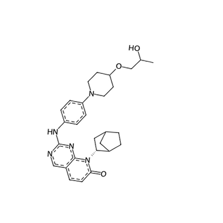 CC(O)COC1CCN(c2ccc(Nc3ncc4ccc(=O)n([C@@H]5CC6CCC5C6)c4n3)cc2)CC1